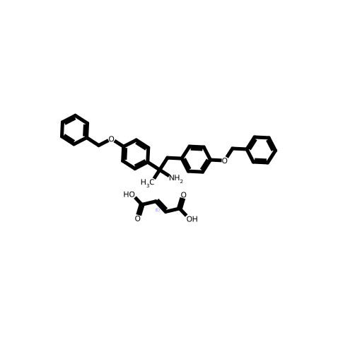 CC(N)(Cc1ccc(OCc2ccccc2)cc1)c1ccc(OCc2ccccc2)cc1.O=C(O)/C=C/C(=O)O